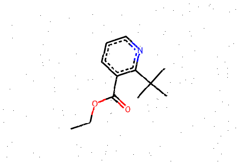 CCOC(=O)c1cccnc1C(C)(C)C